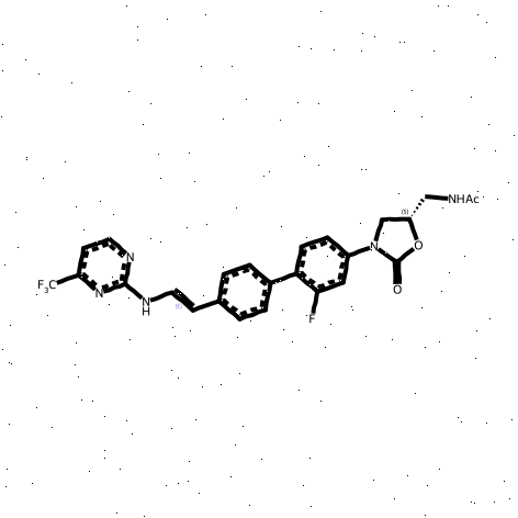 CC(=O)NC[C@H]1CN(c2ccc(-c3ccc(/C=C/Nc4nccc(C(F)(F)F)n4)cc3)c(F)c2)C(=O)O1